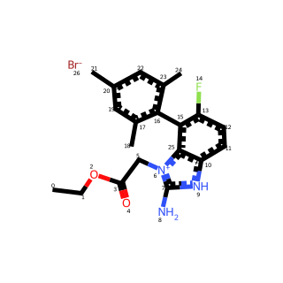 CCOC(=O)C[n+]1c(N)[nH]c2ccc(F)c(-c3c(C)cc(C)cc3C)c21.[Br-]